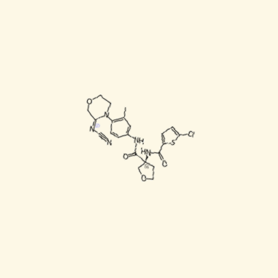 Cc1cc(NC(=O)[C@]2(NC(=O)c3ccc(Cl)s3)CCOC2)ccc1N1CCOC/C1=N/C#N